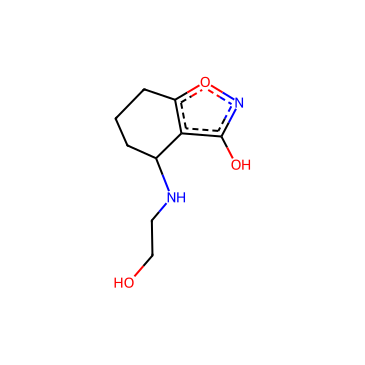 OCCNC1CCCc2onc(O)c21